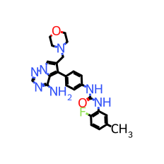 Cc1ccc(F)c(NC(=O)Nc2ccc(-c3c(CN4CCOCC4)cn4ncnc(N)c34)cc2)c1